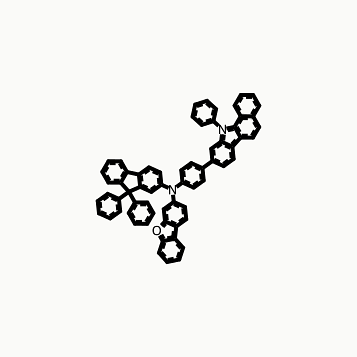 c1ccc(-n2c3cc(-c4ccc(N(c5ccc6c(c5)C(c5ccccc5)(c5ccccc5)c5ccccc5-6)c5ccc6c(c5)oc5ccccc56)cc4)ccc3c3ccc4ccccc4c32)cc1